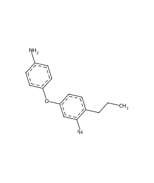 [2H]c1cc(Oc2ccc(N)cc2)ccc1CCC